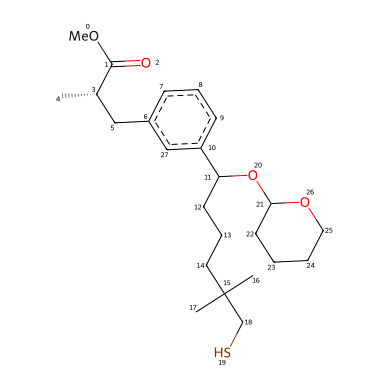 COC(=O)[C@@H](C)Cc1cccc(C(CCCC(C)(C)CS)OC2CCCCO2)c1